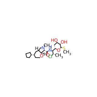 CSC1O[C@H]([C@H](NC(=O)[C@@H]2[C@@H]3OCC[C@H](C4CCCC4)C[C@H]3CN2C)[C@H](C)Cl)CC(O)[C@H]1O